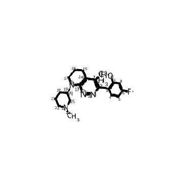 Cc1c(-c2ccc(F)cc2O)nnc2c1CCCN2[C@@H]1CCCN(C)C1